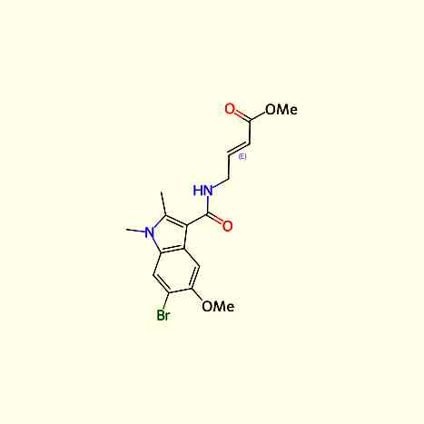 COC(=O)/C=C/CNC(=O)c1c(C)n(C)c2cc(Br)c(OC)cc12